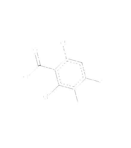 O=C(Cl)c1c(Cl)cc(Cl)c(Cl)c1Cl